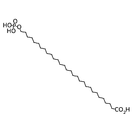 O=C(O)CCCCCCCCCCCCCCCCCCCCCCCCCCCCCOP(=O)(O)O